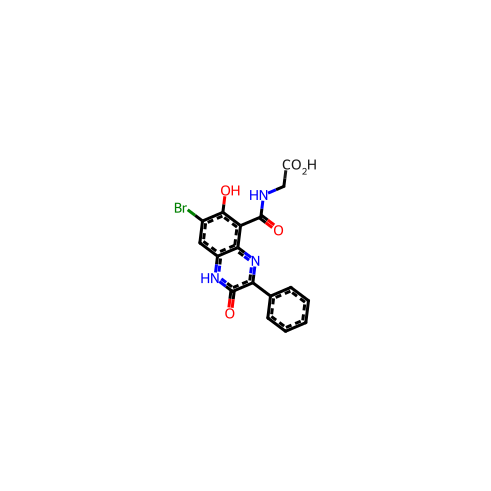 O=C(O)CNC(=O)c1c(O)c(Br)cc2[nH]c(=O)c(-c3ccccc3)nc12